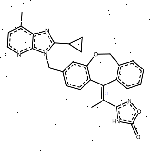 C/C(=C1/c2ccccc2COc2cc(Cn3c(C4CC4)nc4c(C)ccnc43)ccc21)c1noc(=O)[nH]1